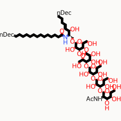 CCCCCCCCCCCCC/C=C/[C@@H](O)[C@H](CO[C@@H]1OC(CO)[C@@H](O[C@@H]2OC(CO)[C@H](O[C@@H]3OC(CO)[C@H](O)[C@H](O[C@H]4OC(CO)[C@H](O)[C@H](O[C@@H]5OC(CO)[C@H](O)[C@H](O)C5NC(C)=O)C4O)C3O)[C@H](O)C2O)[C@H](O)C1O)NC(=O)CCCCCCCCCCCCCCCCCCCCCCC